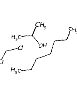 CC(C)O.CCCCCCC.ClCCl